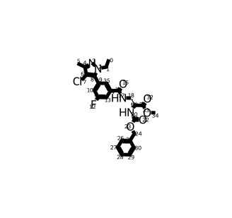 CCn1nc(C)c(Cl)c1-c1cc(F)cc(C(=O)NC[C@@H](NC(=O)OCc2ccccc2)C(=O)OC)c1